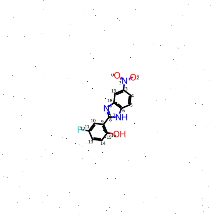 O=[N+]([O-])c1ccc2[nH]c(-c3cc(F)ccc3O)nc2c1